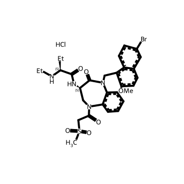 CCN[C@@H](CC)C(=O)N[C@H]1CN(C(=O)CS(C)(=O)=O)c2ccccc2N(Cc2c(OC)ccc3cc(Br)ccc23)C1=O.Cl